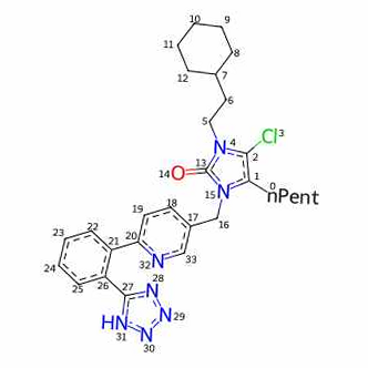 CCCCCc1c(Cl)n(CCC2CCCCC2)c(=O)n1Cc1ccc(-c2ccccc2-c2nnn[nH]2)nc1